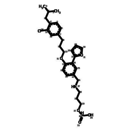 CC(C)Cc1ccc(CCCOc2ccc(CNCCCO[PH](=O)O)cc2-c2ccco2)cc1Cl